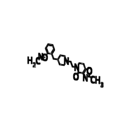 C=NOc1ccccc1CC1CCN(CCN2CCc3oc(C)nc3C2=O)CC1